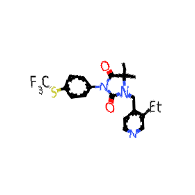 CCc1cnccc1CN1C(=O)N(c2ccc(SC(F)(F)F)cc2)C(=O)C1(C)C